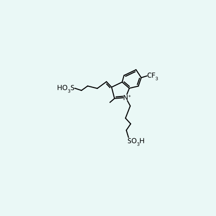 CC1=[N+](CCCCS(=O)(=O)O)c2cc(C(F)(F)F)ccc2/C1=C/CCCS(=O)(=O)O